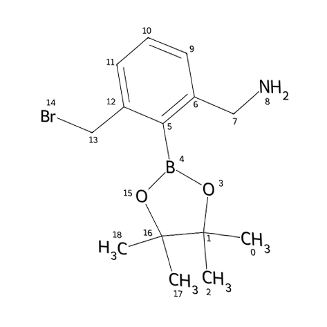 CC1(C)OB(c2c(CN)cccc2CBr)OC1(C)C